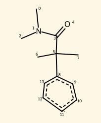 CN(C)C(=O)C(C)(C)c1cc[c]cc1